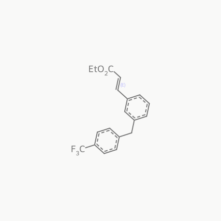 CCOC(=O)/C=C/c1cccc(Cc2ccc(C(F)(F)F)cc2)c1